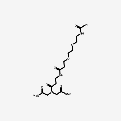 CNC(=O)CN(CC(=O)NC)C(=O)CCNC(=O)CCOCCOCCNC(=O)C(C)C